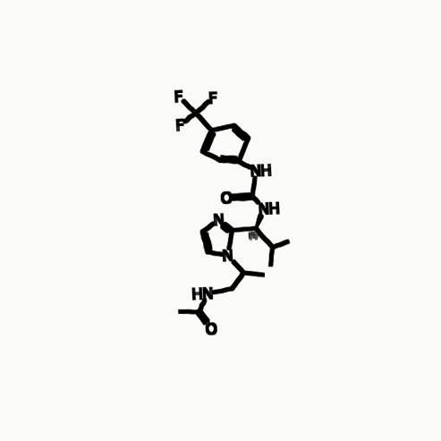 CC(=O)NCC(C)n1ccnc1[C@@H](NC(=O)Nc1ccc(C(F)(F)F)cc1)C(C)C